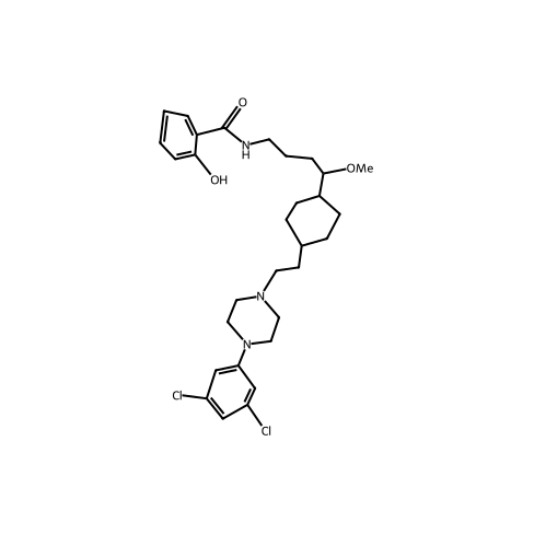 COC(CCCNC(=O)c1ccccc1O)C1CCC(CCN2CCN(c3cc(Cl)cc(Cl)c3)CC2)CC1